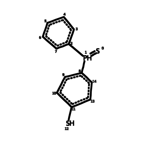 S=[PH](c1ccccc1)c1ccc(S)cc1